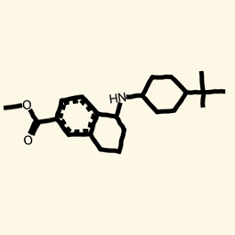 COC(=O)c1ccc2c(c1)CCCC2NC1CCC(C(C)(C)C)CC1